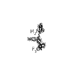 Cl.Cl.NC(CCCCN1CCN(c2cc(C(F)(F)F)nc3ccccc23)CC1)C(=O)N1CCSC1